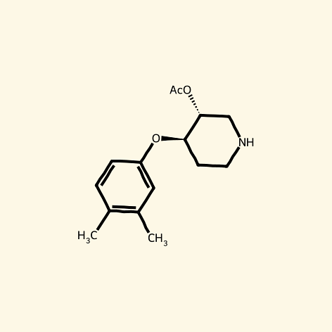 CC(=O)O[C@@H]1CNCC[C@H]1Oc1ccc(C)c(C)c1